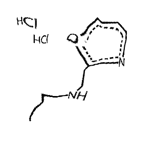 CCNc1ncco1.Cl.Cl